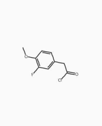 COc1ccc(CC(=O)Cl)cc1F